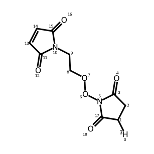 [3H]C1CC(=O)N(OOCCN2C(=O)C=CC2=O)C1=O